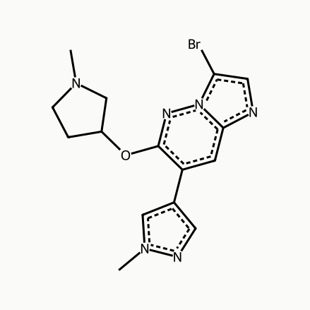 CN1CCC(Oc2nn3c(Br)cnc3cc2-c2cnn(C)c2)C1